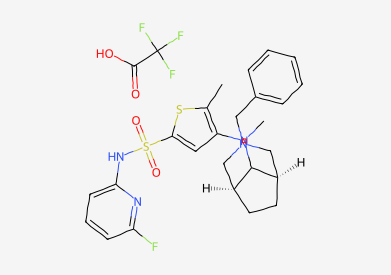 Cc1sc(S(=O)(=O)Nc2cccc(F)n2)cc1N(C)C1[C@@H]2CC[C@H]1CN(Cc1ccccc1)C2.O=C(O)C(F)(F)F